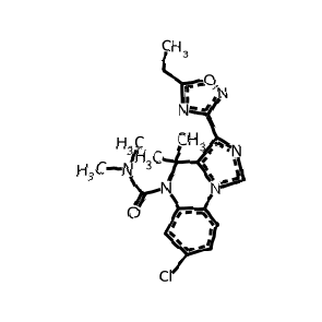 CCc1nc(-c2ncn3c2C(C)(C)N(C(=O)N(C)C)c2cc(Cl)ccc2-3)no1